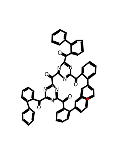 O=C(c1nc(C(=O)c2ccccc2-c2ccccc2)nc(C(=O)c2ccccc2-c2ccccc2)n1)c1nc(C(=O)c2ccccc2-c2ccccc2)nc(C(=O)c2ccccc2-c2ccccc2)n1